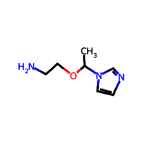 CC(OCCN)n1ccnc1